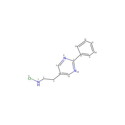 ClNCCc1cnc(-c2ccccc2)nc1